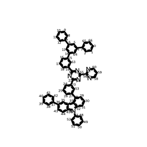 c1ccc(-c2cc(-c3ccccc3)cc(-c3cccc(-c4nc(-c5cccc(-c6cccc7c6c6cc(-c8ccccc8)ccc6n7-c6ccccc6)c5)nc(-c5ncccn5)n4)c3)c2)cc1